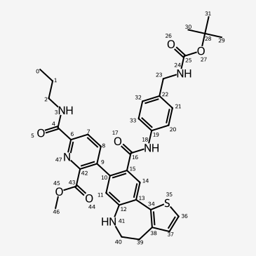 CCCNC(=O)c1ccc(-c2cc3c(cc2C(=O)Nc2ccc(CNC(=O)OC(C)(C)C)cc2)-c2sccc2CCN3)c(C(=O)OC)n1